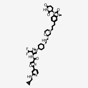 Cn1c(=O)n(C2CCC(=O)NC2=O)c2ccc(CCCN3CCO[C@@H](CNC[C@H]4CC[C@H](n5cc(NC(=O)c6coc(-c7ccnc(NCC8CC8)c7)n6)c(C(F)F)n5)CC4)C3)cc21